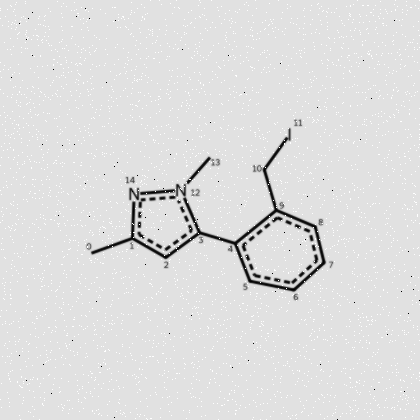 Cc1cc(-c2ccccc2CI)n(C)n1